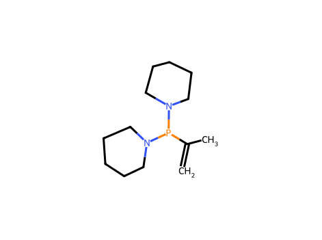 C=C(C)P(N1CCCCC1)N1CCCCC1